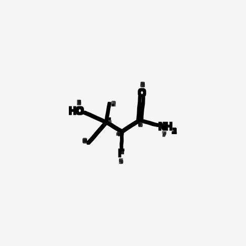 CC(C)(O)C(F)C(N)=O